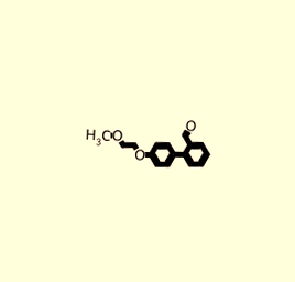 COCCOc1ccc(-c2ccccc2C=O)cc1